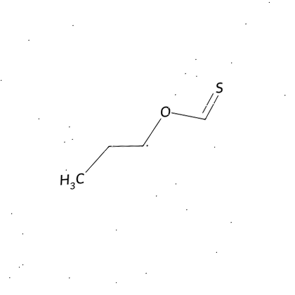 CC[CH]OC=S